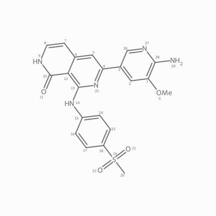 COc1cc(-c2cc3cc[nH]c(=O)c3c(Nc3ccc(S(C)(=O)=O)cc3)n2)cnc1N